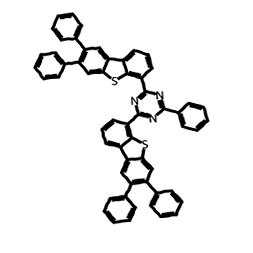 c1ccc(-c2nc(-c3cccc4c3sc3cc(-c5ccccc5)c(-c5ccccc5)cc34)nc(-c3cccc4c3sc3cc(-c5ccccc5)c(-c5ccccc5)cc34)n2)cc1